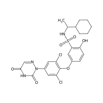 CC(NS(=O)(=O)c1cc(Oc2c(Cl)cc(-n3ncc(=O)[nH]c3=O)cc2Cl)ccc1O)C1CCCCC1